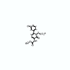 CC(C)(C)OC(=O)Nc1cnc(-c2cccc(Cl)c2)n(CC(=O)O)c1=O